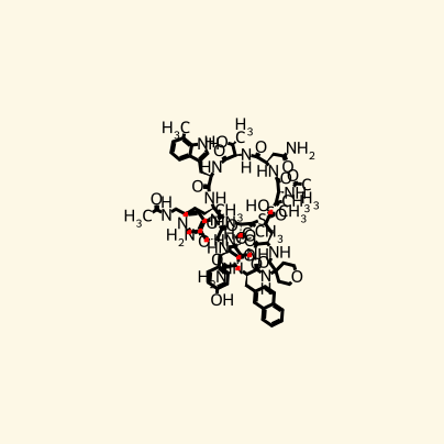 CC(=O)NCCCC[C@H]1NC(=O)[C@@H](Cc2c[nH]c3c(C)cccc23)NC(=O)[C@@H]([C@H](C)O)NC(=O)[C@@H](CC(N)=O)NC(=O)[C@H](NC(C)=O)C(C)(C)SSC(C)(C)[C@H](C(=O)N[C@H](Cc2ccc(O)cc2)C(=O)N[C@H](Cc2ccc3ccccc3c2)C(=O)NC2(C(=O)N[C@H](CCC(=O)O)C(=O)N[C@H](CC(N)=O)C(=O)N[C@H](Cc3cccnc3)C(=O)N(C)CC(N)=O)CCOCC2)NC1=O